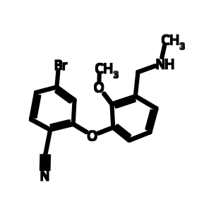 CNCc1cccc(Oc2cc(Br)ccc2C#N)c1OC